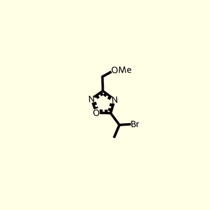 COCc1noc(C(C)Br)n1